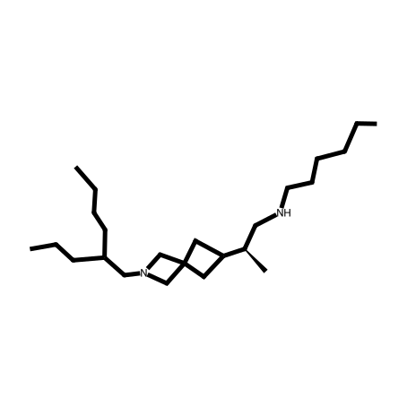 CCCCCCNC[C@@H](C)C1CC2(C1)CN(CC(CCC)CCCC)C2